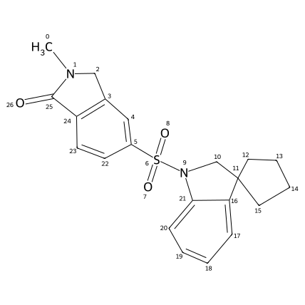 CN1Cc2cc(S(=O)(=O)N3CC4(CCCC4)c4ccccc43)ccc2C1=O